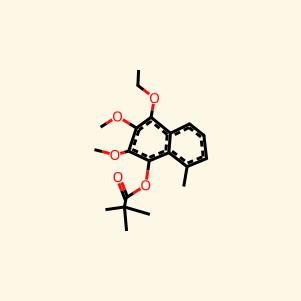 CCOc1c(OC)c(OC)c(OC(=O)C(C)(C)C)c2c(C)cccc12